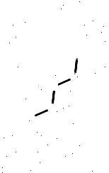 CC[O][SnH2][O]CC